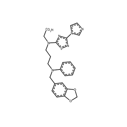 O=C(O)CN(CCCN(Cc1ccc2c(c1)OCO2)c1ccccc1)c1nc(-n2ccnc2)ns1